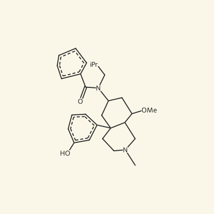 COC1CC(N(CC(C)C)C(=O)c2ccccc2)CC2(c3cccc(O)c3)CCN(C)CC12